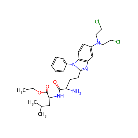 CCOC(=O)C(CC(C)C)NC(=O)C(N)CCc1nc2cc(N(CCCl)CCCl)ccc2n1-c1ccccc1